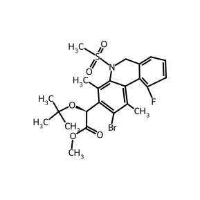 COC(=O)[C@@H](OC(C)(C)C)c1c(C)c2c(c(C)c1Br)-c1c(F)cccc1CN2S(C)(=O)=O